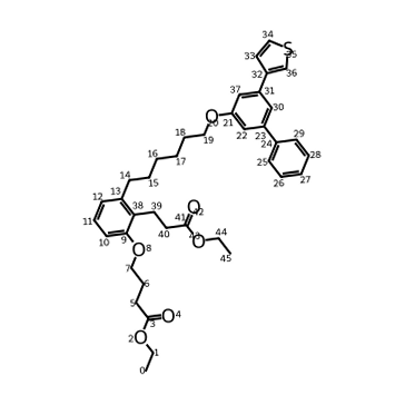 CCOC(=O)CCCOc1cccc(CCCCCCOc2cc(-c3ccccc3)cc(-c3ccsc3)c2)c1CCC(=O)OCC